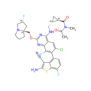 CC(=O)N(C)C(=O)[C@@H]1C[C@H]1CNc1nc(OC[C@@]23CCCN2C[C@H](F)C3)nc2c(F)c(-c3ccc(F)c4sc(N)c(C#N)c34)c(Cl)cc12